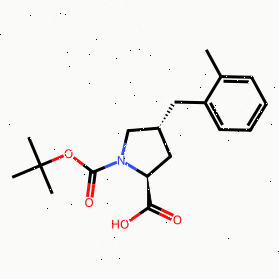 Cc1ccccc1C[C@@H]1C[C@@H](C(=O)O)N(C(=O)OC(C)(C)C)C1